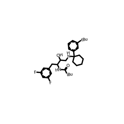 CCC(C)C(=O)NC(Cc1cc(F)cc(F)c1)C(O)CNC1(c2cccc(C(C)(C)C)c2)CCCCC1